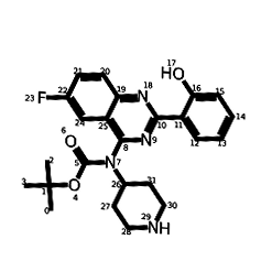 CC(C)(C)OC(=O)N(c1nc(-c2ccccc2O)nc2ccc(F)cc12)C1CCNCC1